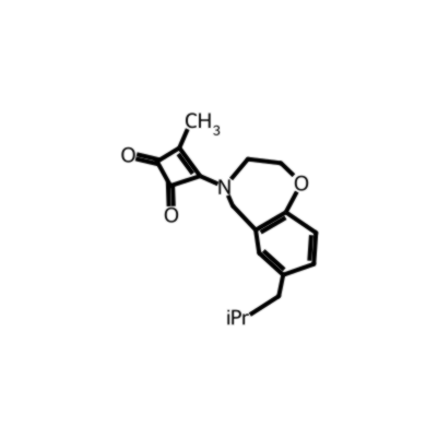 Cc1c(N2CCOc3ccc(CC(C)C)cc3C2)c(=O)c1=O